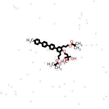 C=C(C)C(=O)OCCCc1cc(-c2ccc(-c3ccc(-c4ccc(C)cc4)cc3)cc2)cc(CCCOC(=O)C(=C)C)c1OCCC(CC)(CO)CO